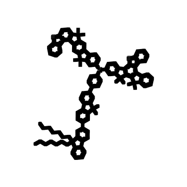 CCCCCCCC1(CCCCCCC)c2ccccc2-c2ccc(-c3ccc4c(c3)C(C)(C)c3cc(-c5ccc(N(c6ccc7c(c6)C(C)(C)c6cc8c(cc6-7)C(C)(C)c6ccc7oc9ccccc9c7c6-8)c6ccc7c(c6)C(C)(C)c6c8c(c9c(oc%10ccccc%109)c6-7)-c6ccccc6C8(C)C)cc5)ccc3-4)cc21